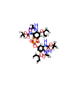 CCC(CC)O[C@@H]1C=C(O[PH](=O)OC2=C[C@@H](OC(CC)CC)[C@H](NC(C)=O)[C@@H](NC(=O)OC(C)(C)C)C2)C[C@H](NC(=O)OC(C)(C)C)[C@H]1NC(C)=O